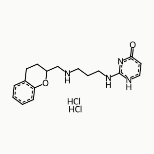 Cl.Cl.O=c1cc[nH]c(NCCCNCC2CCc3ccccc3O2)n1